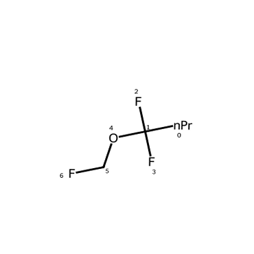 CCCC(F)(F)OCF